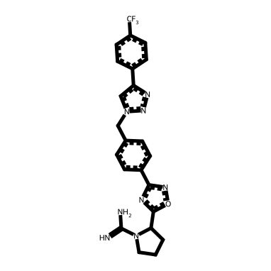 N=C(N)N1CCCC1c1nc(-c2ccc(Cn3cc(-c4ccc(C(F)(F)F)cc4)nn3)cc2)no1